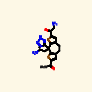 CNC(=O)c1cc2c(s1)C(C[C@@H](C)N)(c1nn[nH]n1)c1sc(C(=O)CN)cc1CC2